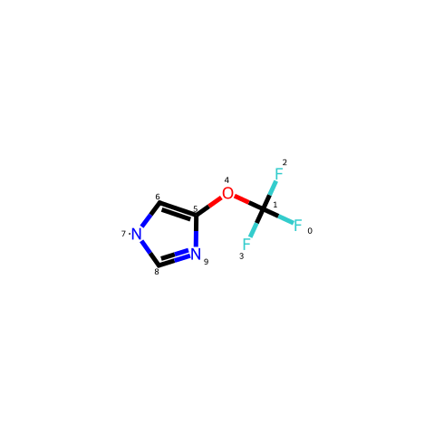 FC(F)(F)OC1=C[N]C=N1